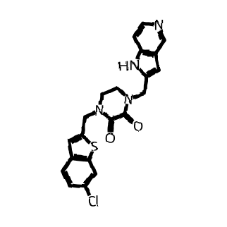 O=C1C(=O)N(Cc2cc3ccc(Cl)cc3s2)CCN1Cc1cc2cnccc2[nH]1